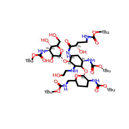 CC(C)(C)OC(=O)NCC[C@H](O)C(=O)N[C@@H]1C[C@@H](NC(=O)OC(C)(C)C)C(O[C@H]2OC(CNC(=O)OC(C)(C)C)CCC2NC(=O)OC(C)(C)C)C(NCCO)[C@H]1O[C@H]1OC(CO)[C@@H](O)[C@H](NC(=O)OC(C)(C)C)C1O